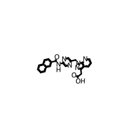 O=C(O)Cc1nn(Cc2cnc(NC(=O)c3ccc4ccccc4c3)cn2)c2ncccc12